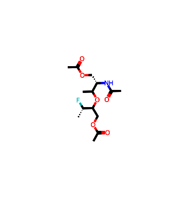 CC(=O)N[C@@H](COC(C)=O)C(C)OC(COC(C)=O)[C@H](C)F